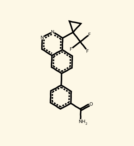 NC(=O)c1cccc(-c2ccc3c(C4(C(F)(F)F)CC4)nncc3c2)c1